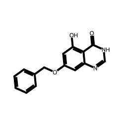 O=c1[nH]cnc2cc(OCc3ccccc3)cc(O)c12